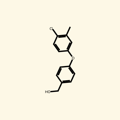 Cc1cc(Oc2ccc(CO)cc2)ccc1Cl